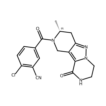 C[C@@H]1Cc2nn3c(c2CN1C(=O)c1ccc(Cl)c(C#N)c1)C(=O)NCC3